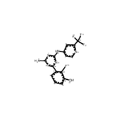 Nc1nc(Nc2ccnc(C(F)(F)F)c2)nc(-c2cccc(O)c2F)n1